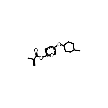 C=C(C)C(=O)Oc1ccc(OC2CCC(C)CC2)cc1